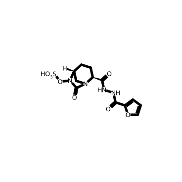 O=C(NNC(=O)[C@@H]1CC[C@@H]2CN1C(=O)N2OS(=O)(=O)O)c1ccco1